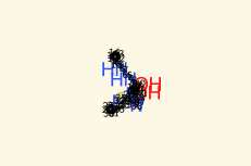 O[C@@H]1[C@@H](CNCCCNCCc2ccccc2)C[C@@H](n2cc(-c3cc(Cc4ccccc4)ns3)c3cncnc32)[C@@H]1O